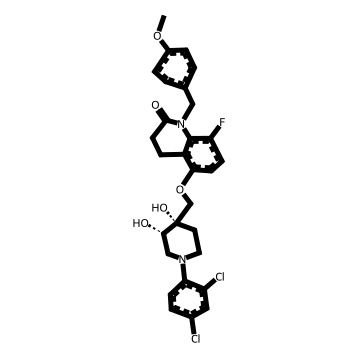 COc1ccc(CN2C(=O)CCc3c(OC[C@@]4(O)CCN(c5ccc(Cl)cc5Cl)C[C@@H]4O)ccc(F)c32)cc1